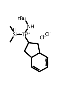 C[SiH](C)[Ti+2]([NH]C(C)(C)C)[CH]1CC2C=CC=CC2C1.[Cl-].[Cl-]